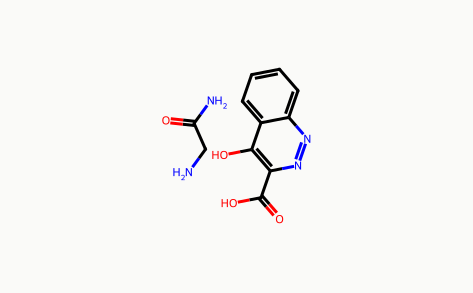 NCC(N)=O.O=C(O)c1nnc2ccccc2c1O